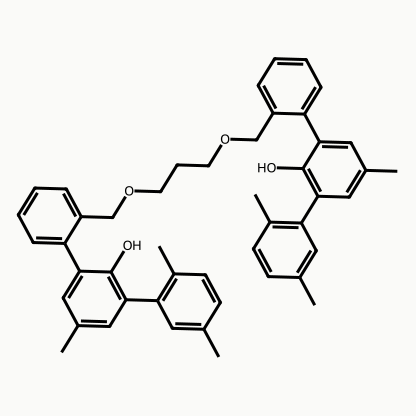 Cc1ccc(C)c(-c2cc(C)cc(-c3ccccc3COCCCOCc3ccccc3-c3cc(C)cc(-c4cc(C)ccc4C)c3O)c2O)c1